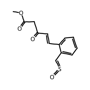 COC(=O)CC(=O)C=Cc1ccccc1C=S=O